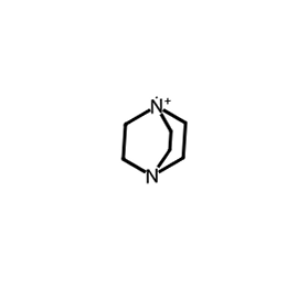 C1C[N+]2CCN1CC2